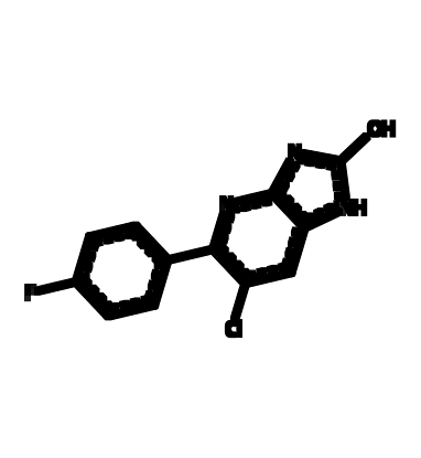 Oc1nc2nc(-c3ccc(F)cc3)c(Cl)cc2[nH]1